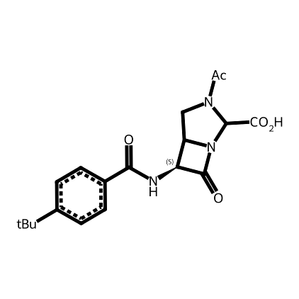 CC(=O)N1CC2[C@H](NC(=O)c3ccc(C(C)(C)C)cc3)C(=O)N2C1C(=O)O